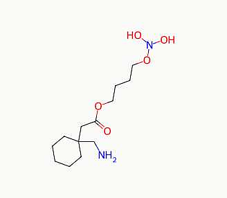 NCC1(CC(=O)OCCCCON(O)O)CCCCC1